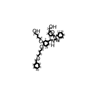 OCCCCOc1cc(CNc2nc3ccccc3n2[C@H]2CC[C@@H](CO)O2)ccc1OCCCCOCc1ccccc1